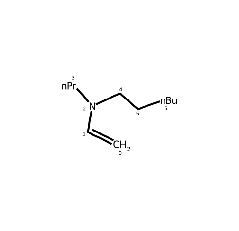 C=CN(CCC)CCCCCC